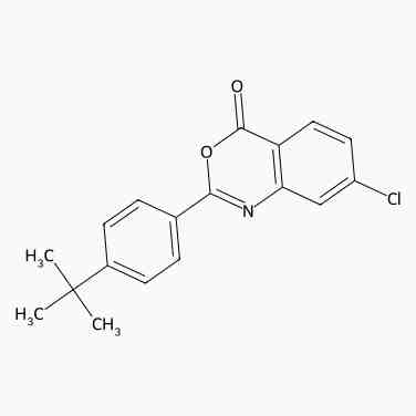 CC(C)(C)c1ccc(-c2nc3cc(Cl)ccc3c(=O)o2)cc1